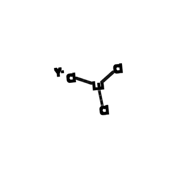 [Cl][Lu]([Cl])[Cl].[Y]